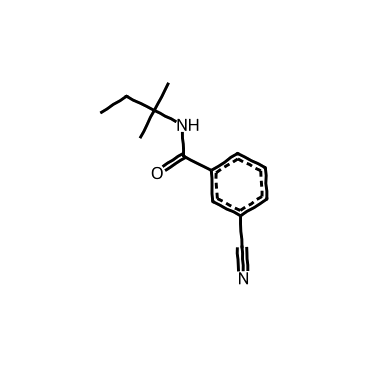 CCC(C)(C)NC(=O)c1cccc(C#N)c1